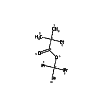 CCC(C)(C)C(=O)OC(C(C)C)(C(C)C)C(C)C